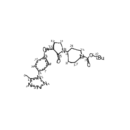 Cc1nnnn1-c1ccc(OC2CCN(C3CCN(C(=O)OC(C)(C)C)CC3)C2=O)cc1